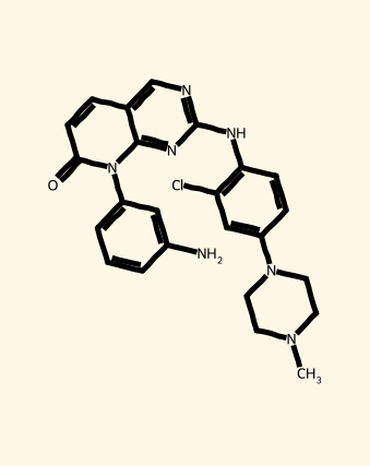 CN1CCN(c2ccc(Nc3ncc4ccc(=O)n(-c5cccc(N)c5)c4n3)c(Cl)c2)CC1